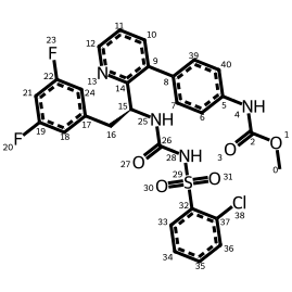 COC(=O)Nc1ccc(-c2cccnc2[C@H](Cc2cc(F)cc(F)c2)NC(=O)NS(=O)(=O)c2ccccc2Cl)cc1